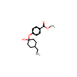 CCC1CCC(O)(Oc2ccc(C(=O)OC)cc2)CC1